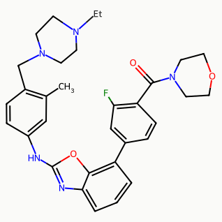 CCN1CCN(Cc2ccc(Nc3nc4cccc(-c5ccc(C(=O)N6CCOCC6)c(F)c5)c4o3)cc2C)CC1